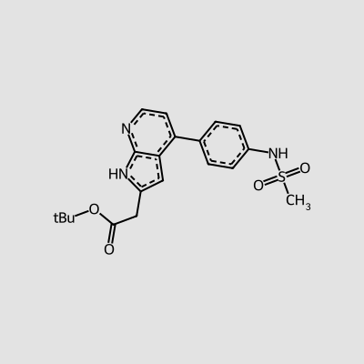 CC(C)(C)OC(=O)Cc1cc2c(-c3ccc(NS(C)(=O)=O)cc3)ccnc2[nH]1